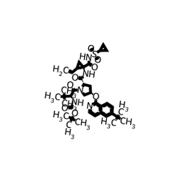 C=CC1C[C@]1(NC(=O)[C@@H]1C[C@@H](Oc2nccc3cc(C(C)(C)C)ccc23)CN1C(=O)[C@@H](NC(=O)OC(C)(C)C)C(C)(C)C)C(=O)NS(=O)(=O)C1CC1